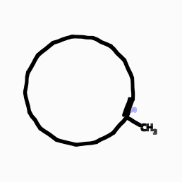 C/C1=C/CCCCCCCCCCCCCCC1